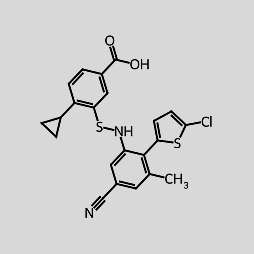 Cc1cc(C#N)cc(NSc2cc(C(=O)O)ccc2C2CC2)c1-c1ccc(Cl)s1